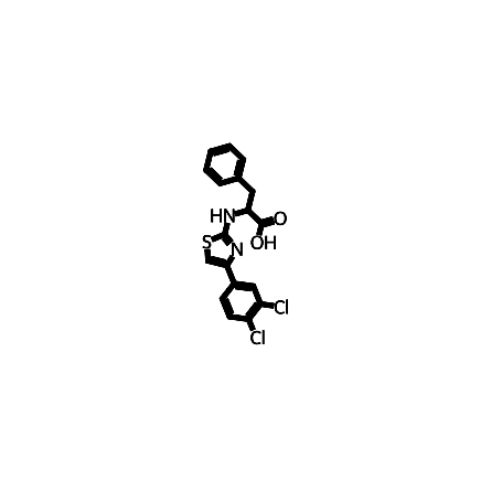 O=C(O)C(Cc1ccccc1)Nc1nc(-c2ccc(Cl)c(Cl)c2)cs1